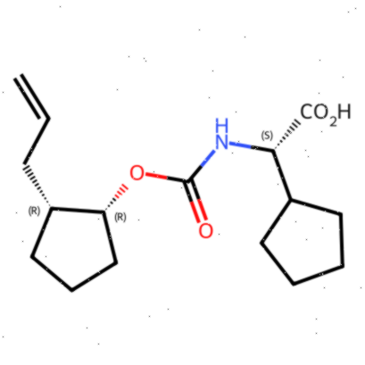 C=CC[C@H]1CCC[C@H]1OC(=O)N[C@H](C(=O)O)C1CCCC1